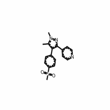 Cc1c(-c2ccc(S(C)(=O)=O)cc2)c(-c2ccncc2)nn1C